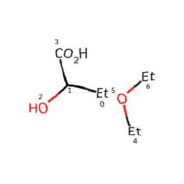 CCC(O)C(=O)O.CCOCC